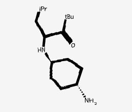 CC(C)CC(N[C@H]1CC[C@H](N)CC1)C(=O)C(C)(C)C